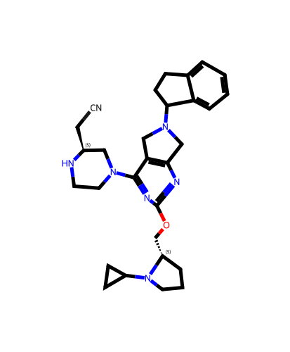 N#CC[C@H]1CN(c2nc(OC[C@@H]3CCCN3C3CC3)nc3c2CN(C2CCc4ccccc42)C3)CCN1